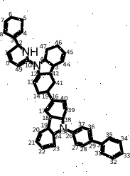 C1=CC(C2=CCCC=C2)NC(N2C3=CCC(C4=CC5C6C=CC=CC6N(c6ccc(-c7ccccc7)cc6)C5C=C4)CC3C3C=CCCC32)=C1